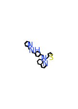 c1ccc(CNCc2ccc(CN(Cc3cccs3)C3CCCc4cccnc43)cc2)nc1